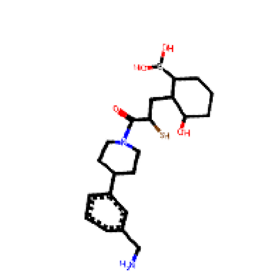 NCc1cccc(C2CCN(C(=O)C(S)CC3C(O)CCCC3B(O)O)CC2)c1